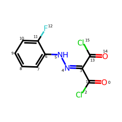 O=C(Cl)C(=NNc1ccccc1F)C(=O)Cl